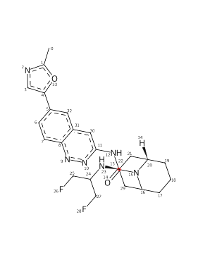 Cc1ncc(-c2ccc3nnc(NC(=O)N4C5CCC[C@H]4C[C@H](NC(CF)CF)C5)cc3c2)o1